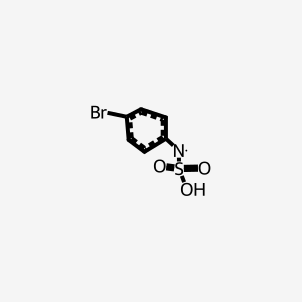 O=S(=O)(O)[N]c1ccc(Br)cc1